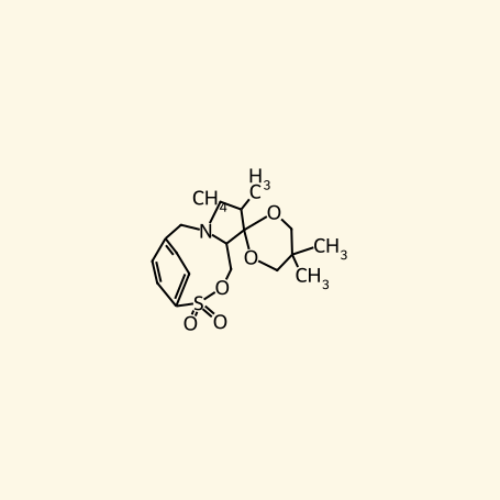 C.CC1CN2Cc3ccc(cc3)S(=O)(=O)OCC2C12OCC(C)(C)CO2